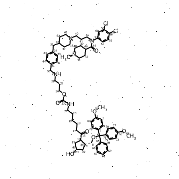 COc1ccc(C(OC[C@@H]2C[C@@H](O)CC2C(=O)CCCCCNC(=O)OCCCNCc2ccc(CC3CCN(CCCN(C(=O)C4CCN(C)CC4)c4ccc(Cl)c(Cl)c4)CC3)cc2)(c2ccccc2)c2ccc(OC)cc2)cc1